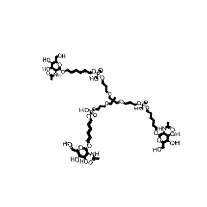 CC(=O)N[C@H]1C(O)[C@@H](O)C(CO)O[C@H]1OCCCCCCOP(=O)(O)OCCCOCC(C)(COCCCOP(=O)(O)OCCCCCCO[C@@H]1OC(CO)[C@H](O)C(O)[C@@H]1NC(C)=O)COCCCOP(=O)(O)OCCCCCCO[C@@H]1OC(CO)[C@H](O)C(O)[C@@H]1NC(C)=O